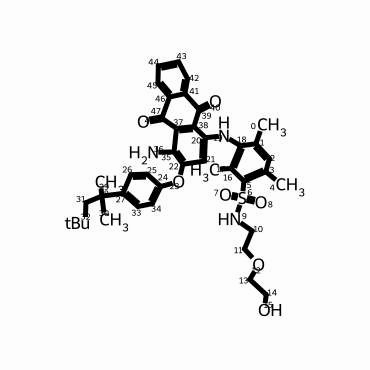 Cc1cc(C)c(S(=O)(=O)NCCOCCO)c(C)c1Nc1cc(Oc2ccc(C(C)(C)CC(C)(C)C)cc2)c(N)c2c1C(=O)c1ccccc1C2=O